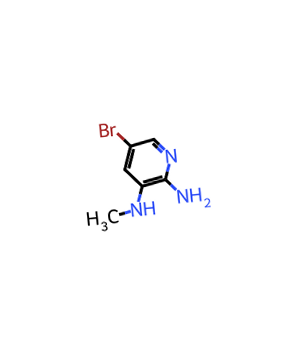 CNc1cc(Br)cnc1N